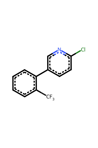 FC(F)(F)c1ccccc1-c1ccc(Cl)nc1